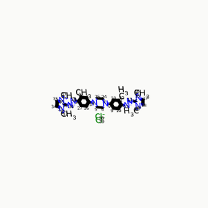 Cc1cc(N2CCN(c3ccc(/N=N/c4n(C)cc[n+]4C)c(C)c3)CC2)ccc1/N=N/c1n(C)cc[n+]1C.[Cl-].[Cl-]